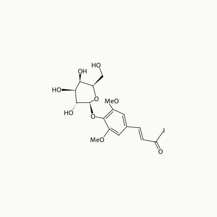 COc1cc(C=CC(=O)I)cc(OC)c1O[C@@H]1O[C@H](CO)[C@H](O)[C@H](O)[C@H]1O